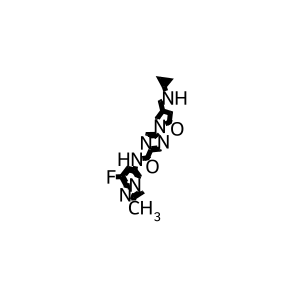 Cc1cn2cc(NC(=O)c3cnc(N4CC(CNC5CC5)CC4=O)cn3)cc(F)c2n1